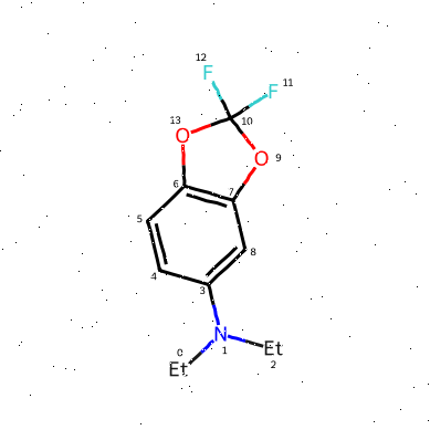 CCN(CC)c1ccc2c(c1)OC(F)(F)O2